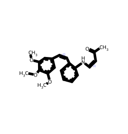 COc1cc(/C=C\c2ccccc2N/C=C\C(C)=O)cc(OC)c1OC